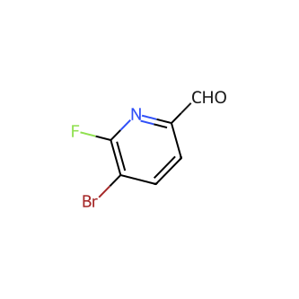 O=Cc1ccc(Br)c(F)n1